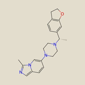 Cc1ncc2ccc(N3CCN([C@@H](C)c4ccc5c(c4)OCC5)CC3)cn12